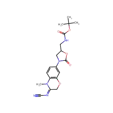 CN1C(=NC#N)COc2cc(N3CC(CNC(=O)OC(C)(C)C)OC3=O)ccc21